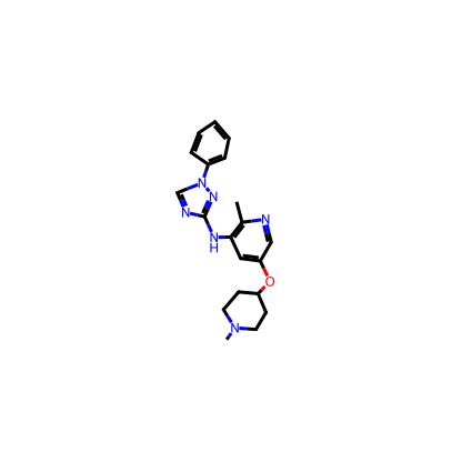 Cc1ncc(OC2CCN(C)CC2)cc1Nc1ncn(-c2ccccc2)n1